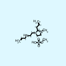 C=CCNCCN1CCN(C)C1CC=C.COS(=O)(=O)O